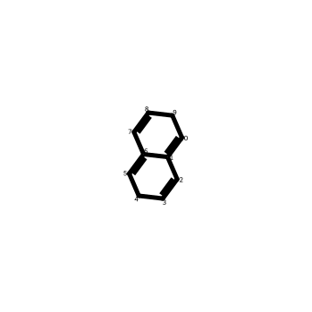 [C]1=C2C=CCC=C2C=CC1